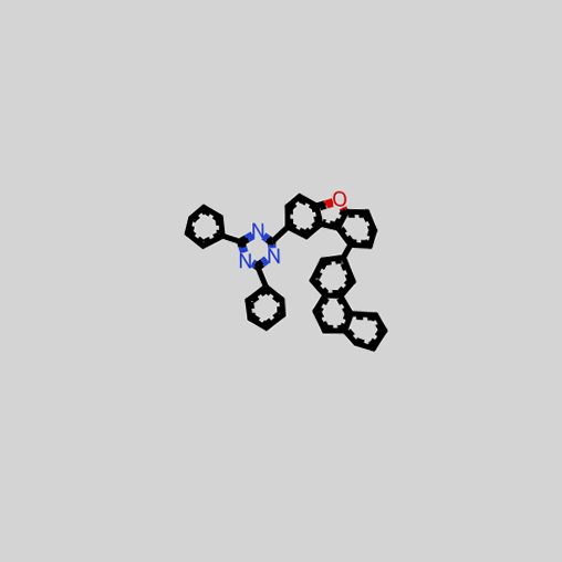 c1ccc(-c2nc(-c3ccccc3)nc(-c3ccc4oc5cccc(-c6ccc7ccc8ccccc8c7c6)c5c4c3)n2)cc1